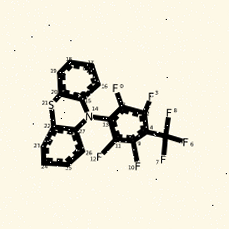 Fc1c(F)c(C(F)(F)F)c(F)c(F)c1N1c2ccccc2Sc2ccccc21